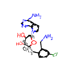 C[C@@]1(O)[C@@H](Cc2ccc(Cl)cc2CN)O[C@@H](n2ccc3c(N)ncnc32)[C@@H]1O